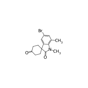 Cc1cc(Br)cc2c1N(C)C(=O)C21CCC(=O)CC1